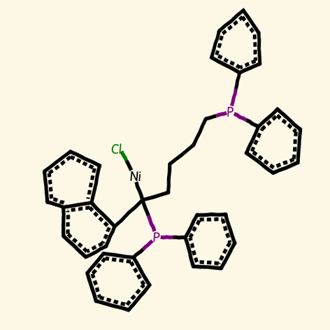 [Cl][Ni][C](CCCCP(c1ccccc1)c1ccccc1)(c1cccc2ccccc12)P(c1ccccc1)c1ccccc1